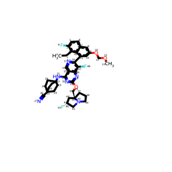 CCc1c(F)ccc2cc(OCOC)cc(-c3ncc4c(NC56CCC(C#N)(CC5)CC6)nc(OC[C@@]56CCCN5C[C@H](F)C6)nc4c3F)c12